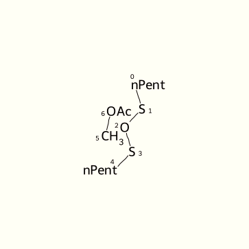 CCCCCSOSCCCCC.COC(C)=O